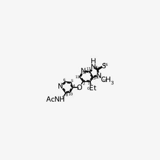 CCc1c(Oc2ccnc(NC(C)=O)c2)cnc2[nH]c(=S)n(C)c12